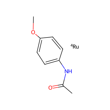 COc1ccc(NC(C)=O)cc1.[4Ru]